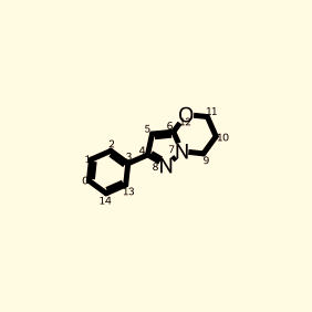 c1ccc(-c2cc3n(n2)CCCO3)cc1